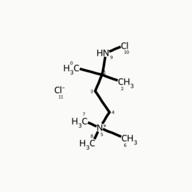 CC(C)(CC[N+](C)(C)C)NCl.[Cl-]